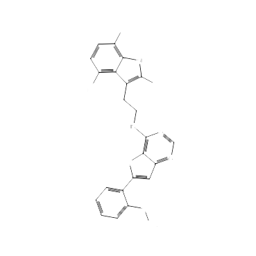 Cc1[nH]c2c(F)ccc(C)c2c1CCNc1ncnc2cc(-c3ccccc3OC(F)(F)F)sc12